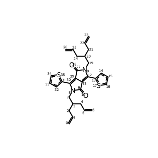 C=CCC(CC=C)CN1C(=O)C2=C(c3cccs3)N(CC(CC=C)CC=C)C(=O)C2=C1c1cccs1